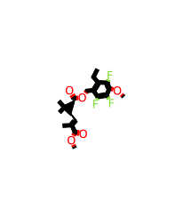 CCc1c(F)c(OC)c(F)c(F)c1COC(=O)[C@@H]1[C@@H](/C=C(\C)C(=O)OC)C1(C)C